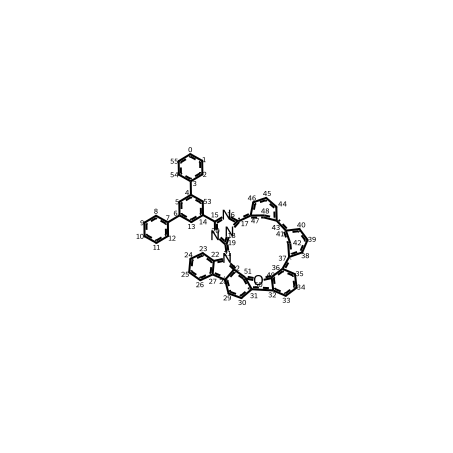 c1ccc(-c2cc(-c3ccccc3)cc(-c3nc4nc(n3)n3c5ccccc5c5ccc6c7cccc(c8cccc(c8)c8cccc4c8)c7oc6c53)c2)cc1